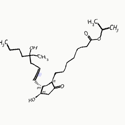 CCCCC(C)(O)C/C=C/[C@H]1[C@H](O)CC(=O)[C@@H]1CCCCCCC(=O)OC(C)C